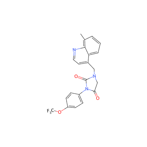 Cc1cccc2c(CN3CC(=O)N(c4ccc(OC(F)(F)F)cc4)C3=O)ccnc12